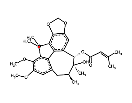 COc1cc2c(c(OC)c1OC)-c1c(cc3c(c1OC)OCO3)[C@H](OC(=O)C=C(C)C)[C@@](C)(O)[C@@H](C)C2